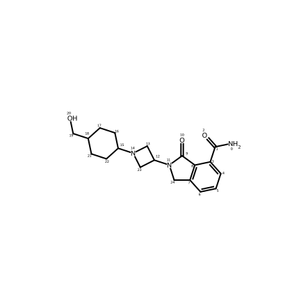 NC(=O)c1cccc2c1C(=O)N(C1CN(C3CCC(CO)CC3)C1)C2